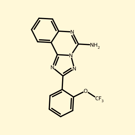 Nc1nc2ccccc2c2nc(-c3ccccc3OC(F)(F)F)nn12